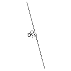 CCCCCCCCCCCCCCCCCCN(CCCCCCCCCCCCCCCCCC)C(C)C(=O)OC